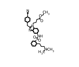 CCOC(=O)CCCn1c(Cc2ccc(C#N)cc2)nc2cc(NS(=O)(=O)c3ccccc3CCCN(C)C)ccc21